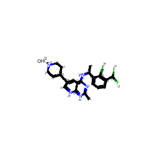 Cc1nc(NC(C)c2cccc(C(F)F)c2F)c2cc(C3CCN(C=O)CC3)cnc2n1